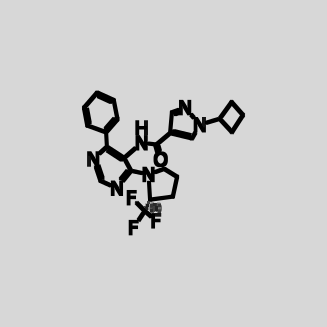 O=C(Nc1c(-c2ccccc2)ncnc1N1CCC[C@@H]1C(F)(F)F)c1cnn(C2CCC2)c1